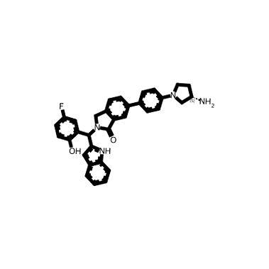 N[C@H]1CCN(c2ccc(-c3ccc4c(c3)C(=O)N(C(c3cc5ccccc5[nH]3)c3cc(F)ccc3O)C4)cc2)C1